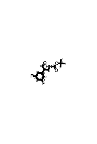 CC(C)(C)OC(=O)NCC(C=O)c1cc(F)cc(F)c1